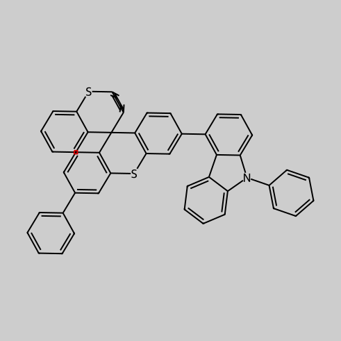 c1ccc(-c2ccc3c(c2)Sc2cc(-c4cccc5c4c4ccccc4n5-c4ccccc4)ccc2C32c3ccccc3Sc3ccccc32)cc1